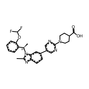 Cc1nc2ccc(-c3cnc(N4CCC(C(=O)O)CC4)nc3)cc2n1[C@H](C)c1ccccc1OC(F)F